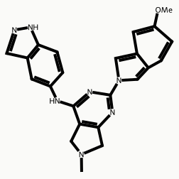 COc1ccc2cn(-c3nc4c(c(Nc5ccc6[nH]ncc6c5)n3)CN(C)C4)cc2c1